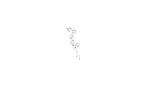 N=c1n(CCCOC2=CCC(F)C=C2)c2ccccc2n1CC1=CC=C(N2CCN(Cc3ccccc3C3C=CC(Cl)=CC3)CC2)CC1